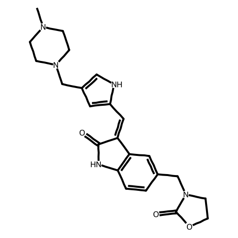 CN1CCN(Cc2c[nH]c(C=C3C(=O)Nc4ccc(CN5CCOC5=O)cc43)c2)CC1